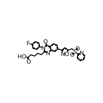 O=C(O)CCCCc1nc2cc(-c3cc(CS(=O)(=O)c4ccccn4)on3)ccc2c(=O)n1-c1ccc(F)cc1